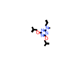 C=CCN(C)c1nc(OCC(=C)C)nc(OCC(=C)C)n1